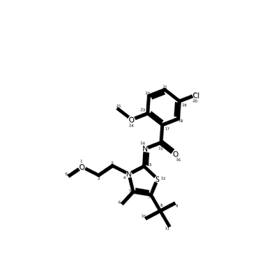 COCCn1c(C)c(C(C)(C)C)s/c1=N\C(=O)c1cc(Cl)ccc1OC